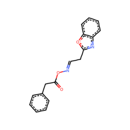 O=C(Cc1ccccc1)ON=CCc1nc2ccccc2o1